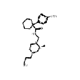 COc1ccc(C2(C(=O)NC[C@@H]3CCN(CCC(C)(C)C)C[C@@H]3F)CCCCC2)cc1